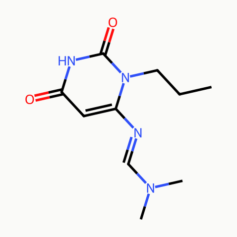 CCCn1c(/N=C/N(C)C)cc(=O)[nH]c1=O